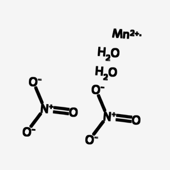 O.O.O=[N+]([O-])[O-].O=[N+]([O-])[O-].[Mn+2]